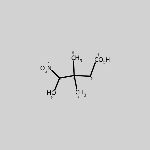 CC(C)(CC(=O)O)C(O)[N+](=O)[O-]